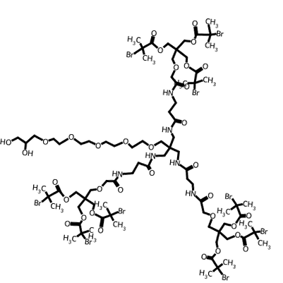 CC(C)(Br)C(=O)OCC(COCC(=O)NCCC(=O)NCC(CNC(=O)CCNC(=O)COCC(COC(=O)C(C)(C)Br)(COC(=O)C(C)(C)Br)COC(=O)C(C)(C)Br)(CNC(=O)CCNC(=O)COCC(COC(=O)C(C)(C)Br)(COC(=O)C(C)(C)Br)COC(=O)C(C)(C)Br)COCCOCCOCCOCCOCC(O)CO)(COC(=O)C(C)(C)Br)COC(=O)C(C)(C)Br